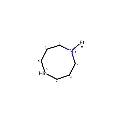 CCN1CC[CH2][InH][CH2]CC1